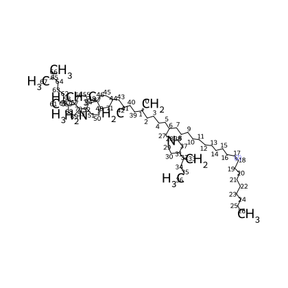 C=C(CCCCC(CCCCCCCCCC/C=C\CCCCCCCC)CN1CCC(C(=C)CCC)CC1)CCC(=C)CC1CCC2(C)C(=CCC3(N)C2CCC2(C)C(C(C)CCCC(C)C)CCC23)C1